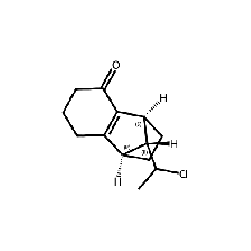 CC(Cl)[C@H]1[C@@H]2CC[C@H]1C1=C2C(=O)CCC1